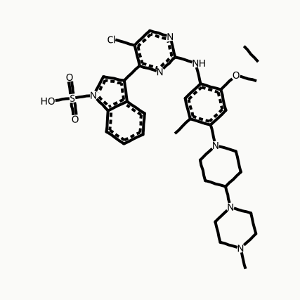 CC.COc1cc(N2CCC(N3CCN(C)CC3)CC2)c(C)cc1Nc1ncc(Cl)c(-c2cn(S(=O)(=O)O)c3ccccc23)n1